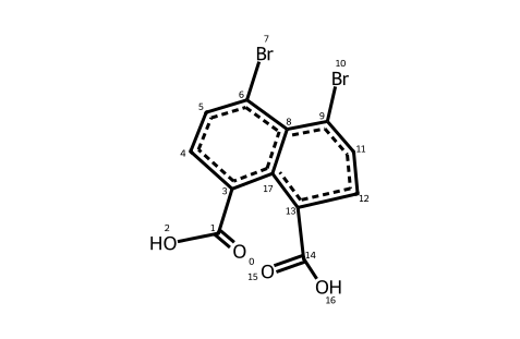 O=C(O)c1ccc(Br)c2c(Br)ccc(C(=O)O)c12